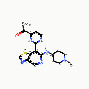 COC(=O)c1ccnc(-c2c(NC3CCN(C(C)=O)CC3)ncc3ncsc23)n1